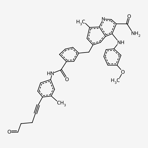 COc1cccc(Nc2c(C(N)=O)cnc3c(C)cc(Cc4cccc(C(=O)Nc5ccc(C#CCCC=O)c(C)c5)c4)cc23)c1